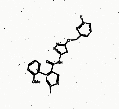 COc1ccccc1-c1cc(C)ncc1C(=O)Nc1nnc(OCc2cccc(F)n2)s1